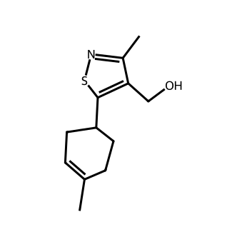 CC1=CCC(c2snc(C)c2CO)CC1